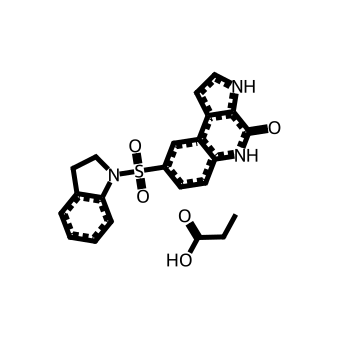 CCC(=O)O.O=c1[nH]c2ccc(S(=O)(=O)N3CCc4ccccc43)cc2c2cc[nH]c12